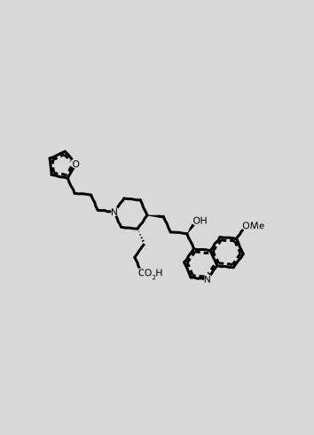 COc1ccc2nccc([C@H](O)CC[C@@H]3CCN(CCCc4ccco4)C[C@H]3CCC(=O)O)c2c1